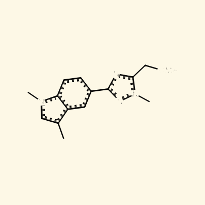 COCc1nc(-c2ccc3c(c2)c(C)cn3C)nn1C